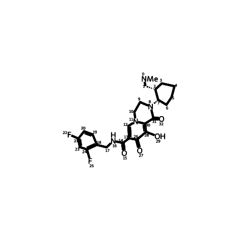 CNC[C@@H]1CCCC[C@@H]1N1CCn2cc(C(=O)NCc3ccc(F)cc3F)c(=O)c(O)c2C1=O